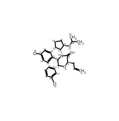 C=CC[C@H]1O[C@H](c2cccc(Cl)c2)[C@@H](c2ccc(Cl)cc2)N([C@@H]2CCC[C@H]2SC(C)C)C1=O